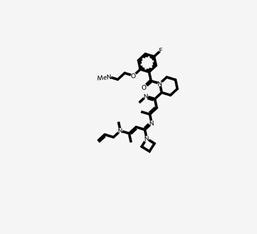 C=CCN(C)/C(C)=C/C(=N\C(C)=C\C(=N/C)C1CCCCN1C(=O)c1cc(F)ccc1OCCNC)N1CCC1